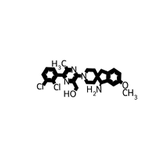 COc1ccc2c(c1)[C@@H](N)C1(CCN(c3nc(C)c(-c4cccc(Cl)c4Cl)nc3CO)CC1)C2